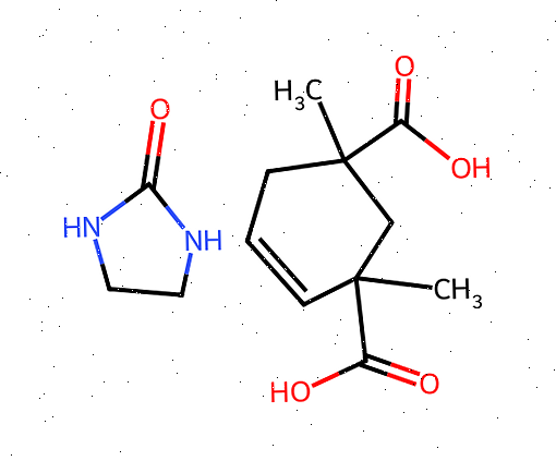 CC1(C(=O)O)C=CCC(C)(C(=O)O)C1.O=C1NCCN1